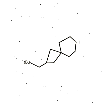 CC(C)(C)CC1CC2(CCNCC2)C1